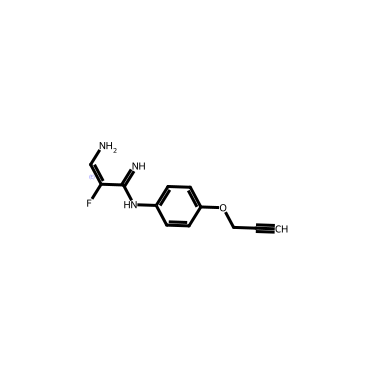 C#CCOc1ccc(NC(=N)/C(F)=C\N)cc1